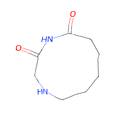 O=C1CCCCCNCC(=O)N1